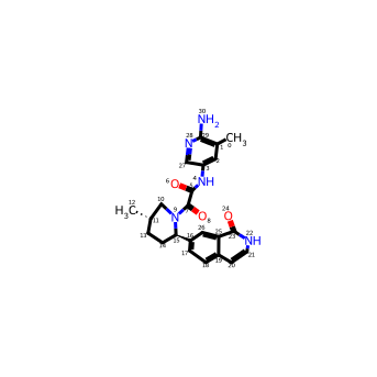 Cc1cc(NC(=O)C(=O)N2C[C@@H](C)CC[C@@H]2c2ccc3cc[nH]c(=O)c3c2)cnc1N